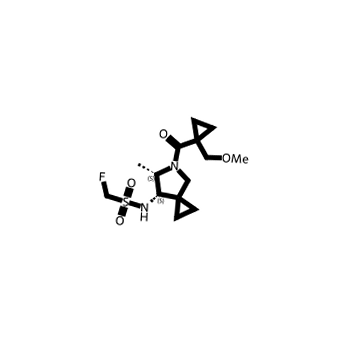 COCC1(C(=O)N2CC3(CC3)[C@H](NS(=O)(=O)CF)[C@@H]2C)CC1